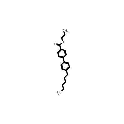 CCCCCCc1ccc(-c2ccc(C(=O)OCCC)cc2)cc1